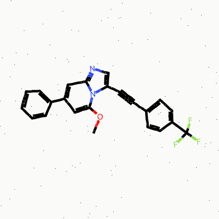 COc1cc(-c2ccccc2)cc2ncc(C#Cc3ccc(C(F)(F)F)cc3)n12